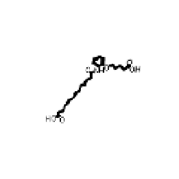 O=C(O)CCCCCCCCCCCCC(=O)Nc1ccccc1OCCCCC(=O)O